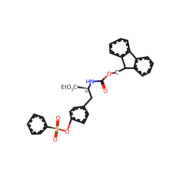 CCOC(=O)[C@H](Cc1ccc(OS(=O)(=O)c2ccccc2)cc1)NC(=O)OCC1c2ccccc2-c2ccccc21